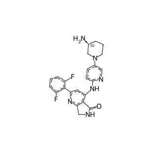 N[C@H]1CCCN(c2ccc(Nc3cc(-c4c(F)cccc4F)nc4c3C(=O)NC4)nc2)C1